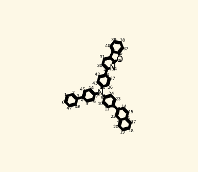 c1ccc(-c2ccc(N(c3ccc(-c4ccc5ccccc5c4)cc3)c3ccc(-c4ccc5c(n4)oc4ccccc45)cc3)cc2)cc1